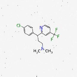 CN(C)CCC(c1ccc(Cl)cc1)c1cc(C(F)(F)F)ccn1